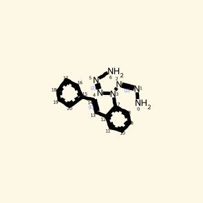 N/N=N\N(/N=N\N)c1ccccc1/C=C/c1ccccc1